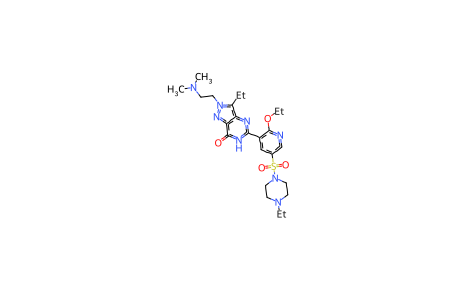 CCOc1ncc(S(=O)(=O)N2CCN(CC)CC2)cc1-c1nc2c(CC)n(CCN(C)C)nc2c(=O)[nH]1